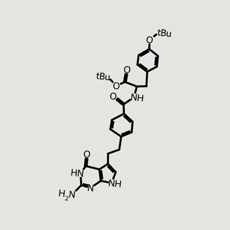 CC(C)(C)OC(=O)C(Cc1ccc(OC(C)(C)C)cc1)NC(=O)c1ccc(CCc2c[nH]c3nc(N)[nH]c(=O)c23)cc1